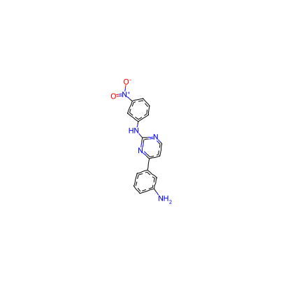 Nc1cccc(-c2ccnc(Nc3cccc([N+](=O)[O-])c3)n2)c1